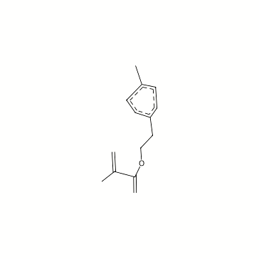 C=C(C)C(=C)OCCc1ccc(C)cc1